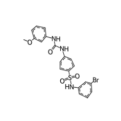 COc1cccc(NC(=O)Nc2ccc(S(=O)(=O)Nc3cccc(Br)c3)cc2)c1